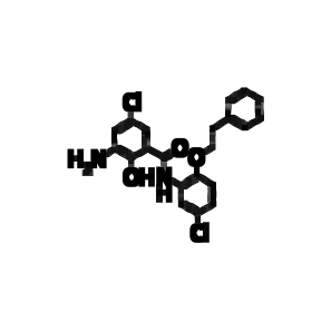 Nc1cc(Cl)cc(C(=O)Nc2cc(Cl)ccc2OCCc2ccccc2)c1O